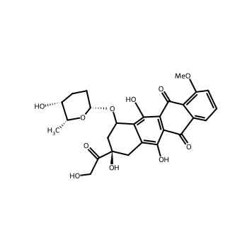 COc1cccc2c1C(=O)c1c(O)c3c(c(O)c1C2=O)C[C@](O)(C(=O)CO)CC3O[C@H]1CC[C@@H](O)[C@@H](C)O1